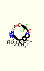 Cc1cc2cc3c1CCN(C3)C(=O)c1c(Cl)cc(cc1Cl)COCCCn1nnc3c(C)c(ccc31)C2C(C)(C)C(=O)O